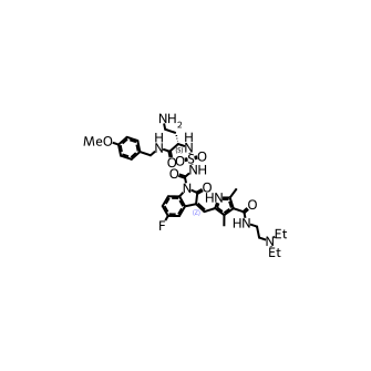 CCN(CC)CCNC(=O)c1c(C)[nH]c(/C=C2\C(=O)N(C(=O)NS(=O)(=O)N[C@@H](CCN)C(=O)NCc3ccc(OC)cc3)c3ccc(F)cc32)c1C